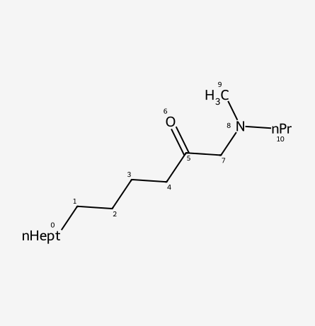 CCCCCCCCCCCC(=O)CN(C)CCC